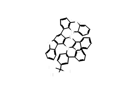 CC(C)(C)c1ccc(N2c3oc4ccccc4c3B3c4c(cc5oc6ccccc6c5c42)-c2cccc4c2N3c2ccccc2S4)c(-c2ccccc2)c1